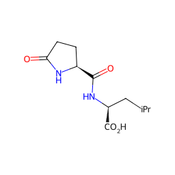 CC(C)C[C@H](NC(=O)[C@@H]1CCC(=O)N1)C(=O)O